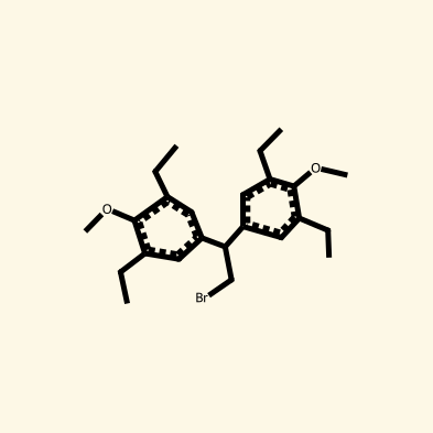 CCc1cc(C(CBr)c2cc(CC)c(OC)c(CC)c2)cc(CC)c1OC